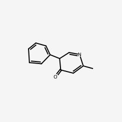 CC1=CC(=O)C(c2ccccc2)C=N1